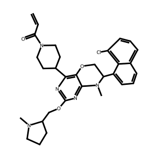 C=CC(=O)N1CCC(c2nc(OCC3CCCN3C)nc3c2OCC(c2cccc4cccc(Cl)c24)N3C)CC1